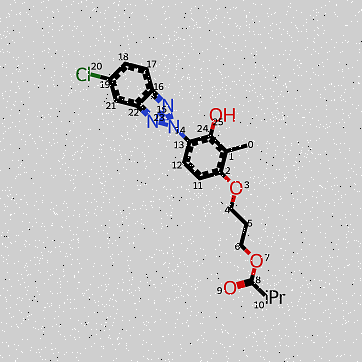 Cc1c(OCCCOC(=O)C(C)C)ccc(-n2n3c4ccc(Cl)cc4n23)c1O